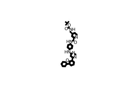 CC(C)(C)OC(=O)NCc1ccnc(C(=O)Nc2ccc(Nc3cc(-c4cccc5c4oc4ccccc45)ncn3)cc2)c1